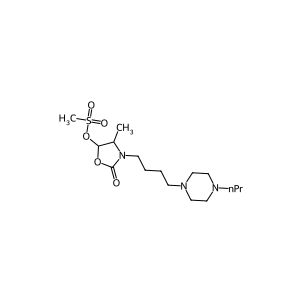 CCCN1CCN(CCCCN2C(=O)OC(OS(C)(=O)=O)C2C)CC1